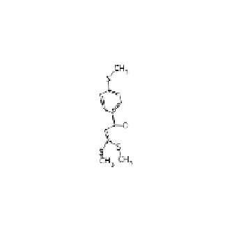 CSC(=CC(=O)c1ccc(SC)cc1)SC